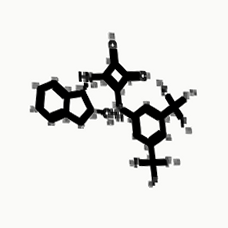 O=c1c(Nc2cc(C(F)(F)F)cc(C(F)(F)F)c2)c(N[C@H]2c3ccccc3C[C@H]2O)c1=O